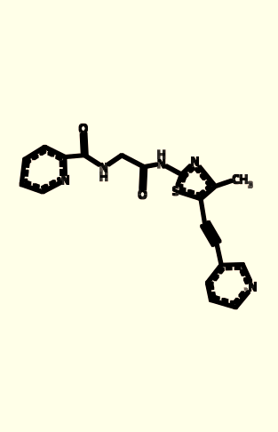 Cc1nc(NC(=O)CNC(=O)c2ccccn2)sc1C#Cc1cccnc1